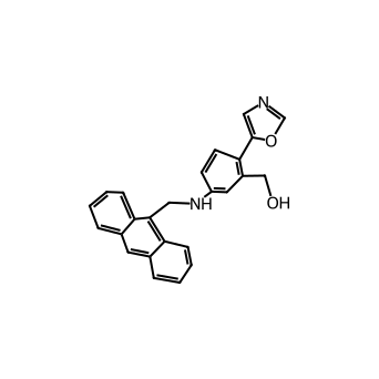 OCc1cc(NCc2c3ccccc3cc3ccccc23)ccc1-c1cnco1